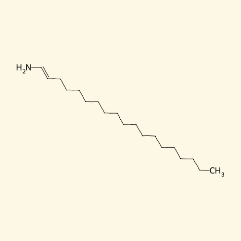 CCCCCCCCCCCCCCCCC/C=C/N